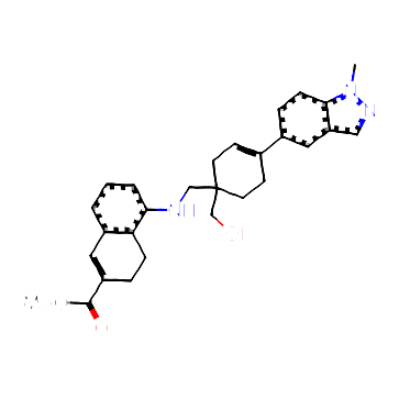 COC(=O)C1=Cc2cccc(NCC3(CO)CC=C(c4ccc5c(cnn5C)c4)CC3)c2CC1